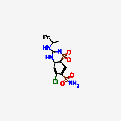 CC(C)C(C)NC1=NS(=O)(=O)c2cc(S(N)(=O)=O)c(Cl)cc2N1